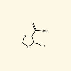 COC(=O)C1OCOC1C